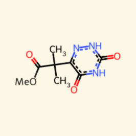 COC(=O)C(C)(C)c1n[nH]c(=O)[nH]c1=O